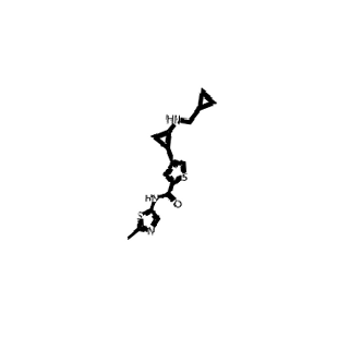 Cc1ncc(NC(=O)c2cc(C3CC3NCC3CC3)cs2)s1